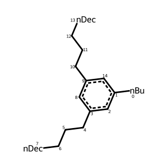 [CH2]CCCc1cc(CCCCCCCCCCCCC)cc(CCCCCCCCCCCCC)c1